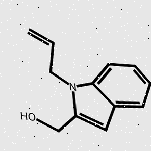 C=CCn1c(CO)cc2ccccc21